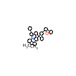 CC1(C)c2ccccc2-c2c(N(c3ccc(-c4ccccc4)cc3)c3cccc4c3-c3ccccc3C4(c3ccccc3)c3ccc(-c4cccc5c4oc4ccccc45)cc3)cccc21